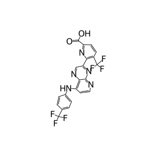 O=C(O)c1ccc(C(F)(F)F)c(-c2cnc3c(Nc4ccc(C(F)(F)F)cc4)ccnc3n2)n1